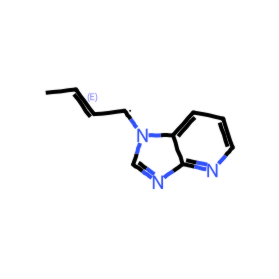 C/C=C/[CH]n1cnc2ncccc21